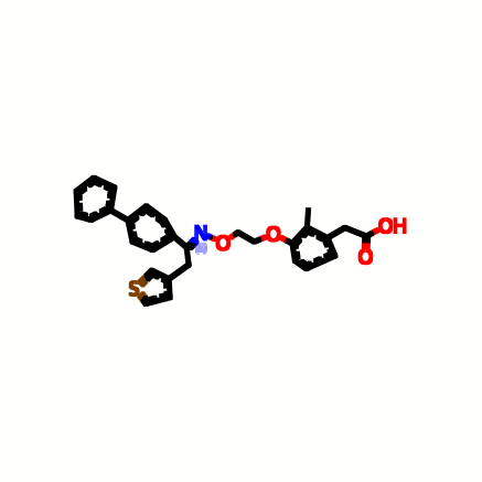 Cc1c(CC(=O)O)cccc1OCCO/N=C(\Cc1ccsc1)c1ccc(-c2ccccc2)cc1